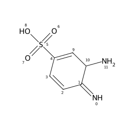 N=C1C=CC(S(=O)(=O)O)=CC1N